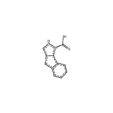 O=C(S)n1[nH]cc2cc3ccccc3c1-2